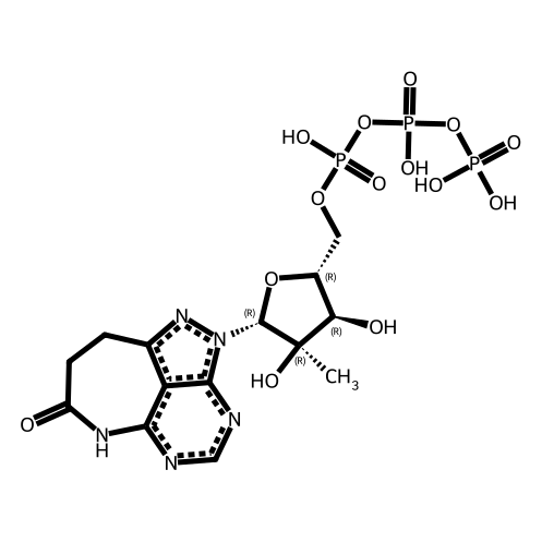 C[C@@]1(O)[C@H](O)[C@@H](COP(=O)(O)OP(=O)(O)OP(=O)(O)O)O[C@H]1n1nc2c3c(ncnc31)NC(=O)CC2